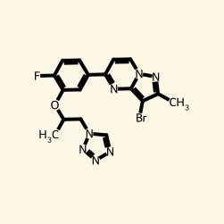 Cc1nn2ccc(-c3ccc(F)c(OC(C)Cn4cnnn4)c3)nc2c1Br